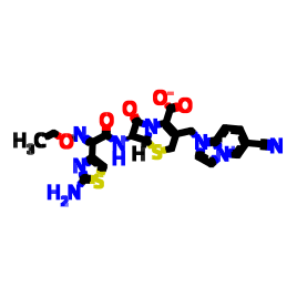 CCO/N=C(/C(=O)N[C@@H]1C(=O)N2C(C(=O)[O-])=C(Cn3cc[n+]4cc(C#N)ccc34)CS[C@H]12)c1csc(N)n1